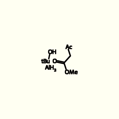 CC(C)(C)O.COC(=O)CC(C)=O.[AlH3]